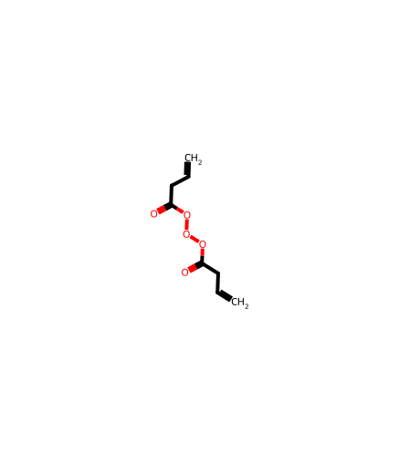 C=CCC(=O)OOOC(=O)CC=C